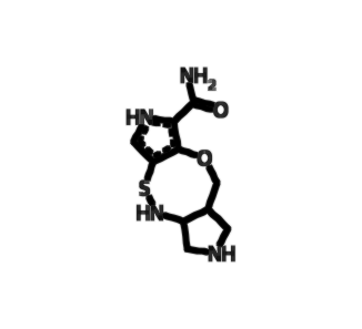 NC(=O)c1[nH]cc2c1OCC1CNCC1NS2